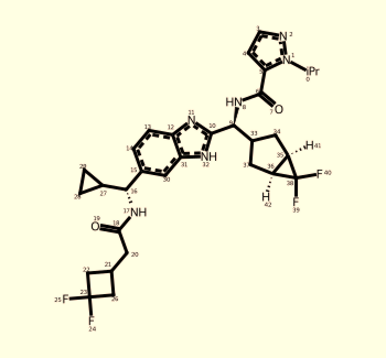 CC(C)n1nccc1C(=O)N[C@H](c1nc2ccc([C@H](NC(=O)CC3CC(F)(F)C3)C3CC3)cc2[nH]1)C1C[C@@H]2[C@H](C1)C2(F)F